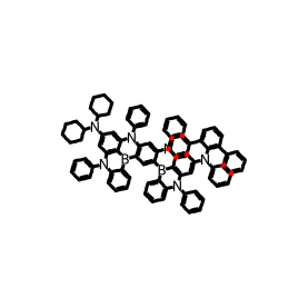 c1ccc(-c2cccc(-c3ccccc3)c2N(c2ccccc2)c2cc3c4c(c2)N(c2ccccc2)c2cc5c(cc2B4c2ccccc2N3c2ccccc2)B2c3ccccc3N(c3ccccc3)c3cc(N(C4CCCCC4)C4CCCCC4)cc(c32)N5c2ccccc2)cc1